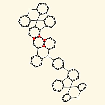 c1ccc(-c2ccccc2N(c2ccc(-c3cccc4c3-c3ccccc3C43c4ccccc4Oc4ccccc43)cc2)c2cccc(-c3cccc4c3-c3ccccc3C43c4ccccc4Oc4ccccc43)c2)cc1